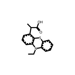 CCN1c2ccccc2Sc2c(C(C)C(=O)O)cccc21